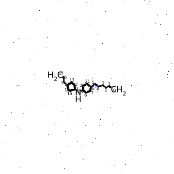 C=CCC/C=C/c1ccc(Nc2ccc(CC=C)cc2)cc1